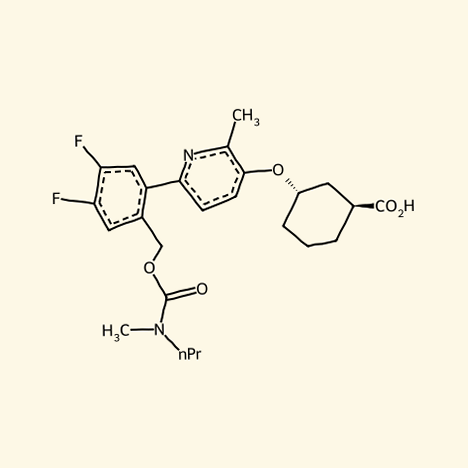 CCCN(C)C(=O)OCc1cc(F)c(F)cc1-c1ccc(O[C@H]2CCC[C@H](C(=O)O)C2)c(C)n1